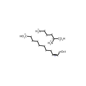 CCCCCCCC/C=C\CCCCCCCC(=O)O.NCCCC(N)C(=O)O